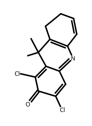 CC1(C)C2=C(C=CCC2)N=C2C=C(Cl)C(=O)C(Cl)=C21